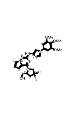 COc1cc(-n2cnc(Nc3nc(N4CC(F)(F)C[C@H]4CO)c4cccn4n3)c2)cc(OC)c1OC